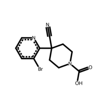 N#CC1(c2ncccc2Br)CCN(C(=O)O)CC1